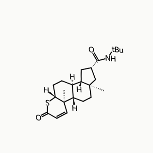 CC(C)(C)NC(=O)[C@H]1C[C@H]2[C@@H]3CC[C@H]4SC(=O)C=C[C@]4(C)[C@H]3CC[C@]2(C)C1